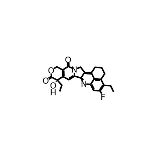 CCc1c(F)cc2nc3c(c4c2c1CCC4)Cn1c-3cc2c(c1=O)COC(=O)[C@]2(O)CC